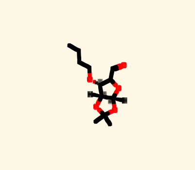 CCCCO[C@@H]1C(C=O)O[C@@H]2OC(C)(C)O[C@@H]21